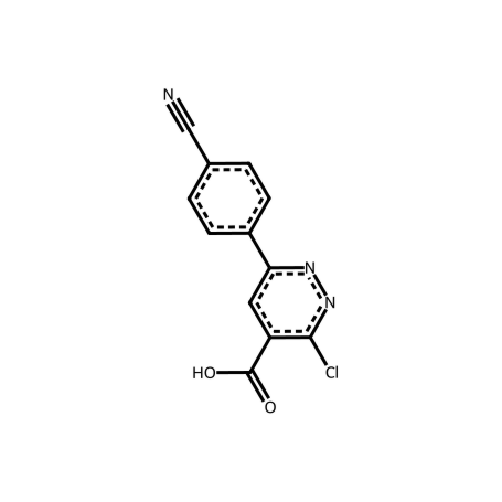 N#Cc1ccc(-c2cc(C(=O)O)c(Cl)nn2)cc1